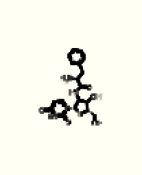 N[C@@H](Cc1ccccc1)C(=O)NC1C(O)[C@H](CO)O[C@@H]1n1ccc(=O)[nH]c1=O